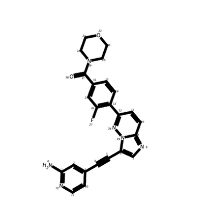 Nc1cc(C#Cc2cnc3ccc(-c4ccc(C(=O)N5CCOCC5)cc4F)nn23)ccn1